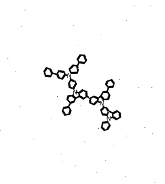 c1ccc(-c2ccc(N(c3ccc(-c4ccccc4)cc3)c3ccc(-n4c5ccc(-c6ccccc6)cc5c5cc(-c6ccc7c(c6)c6cc(-c8ccccc8)ccc6n7-c6ccc7c(c6)c6ccccc6n7-c6ccccc6)ccc54)cc3)cc2)cc1